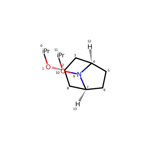 CC(C)O[C@@H]1C[C@H]2CC[C@@H](C1)N2OC(C)C